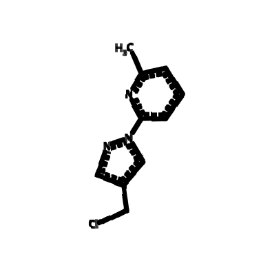 Cc1cccc(-n2cc(CCl)cn2)n1